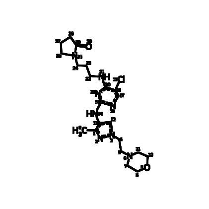 Cc1nn(CCN2CCOCC2)cc1Nc1ncc(Cl)c(NCCCN2CCCC2=O)n1